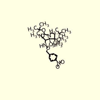 CC(C)(C)OC(=O)N1C[C@H](C(C)(C)C)C(C)(C)[C@]1(O[SiH3])C(C#N)NOCc1ccc([N+](=O)[O-])cc1